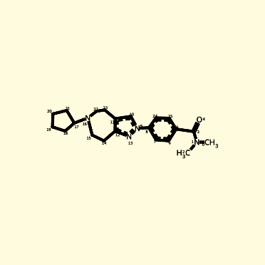 CN(C)C(=O)c1ccc(-n2cc3c(n2)CCN(C2CCCC2)CC3)cc1